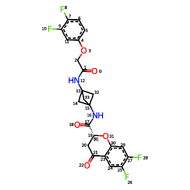 O=C(COc1ccc(F)c(F)c1)NC12CC(NC(=O)[C@H]3CC(=O)c4cc(F)c(F)cc4O3)(C1)C2